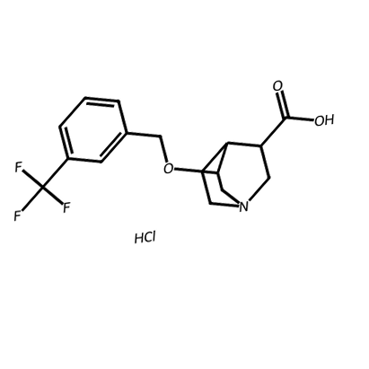 Cl.O=C(O)C1CN2CCC1C(OCc1cccc(C(F)(F)F)c1)C2